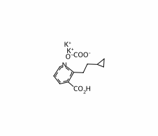 O=C(O)c1cccnc1CCC1CC1.O=C([O-])[O-].[K+].[K+]